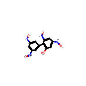 O=Nc1cc(N=O)cc(-c2c(O)cc(N=O)cc2N=O)c1